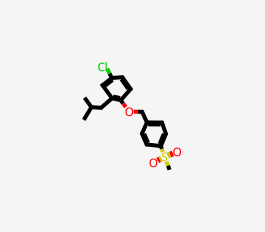 CC(C)Cc1cc(Cl)ccc1OCc1ccc(S(C)(=O)=O)cc1